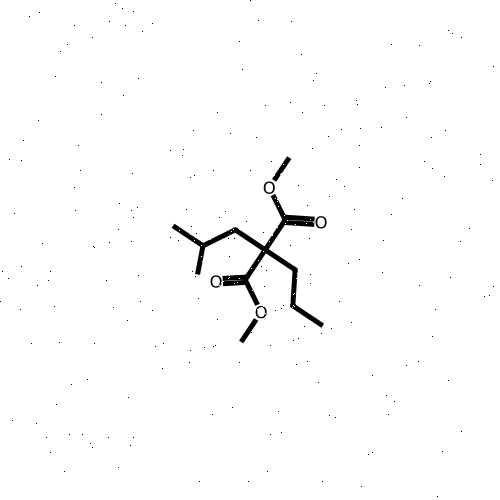 CCCC(CC(C)C)(C(=O)OC)C(=O)OC